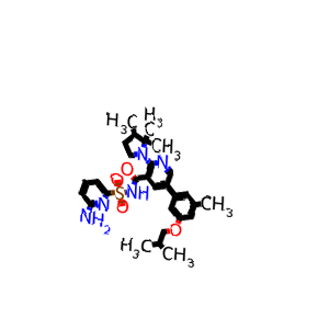 Cc1cc(OCC(C)C)cc(-c2cnc(N3CCC(C)C3(C)C)c(C(=O)NS(=O)(=O)c3cccc(N)n3)c2)c1